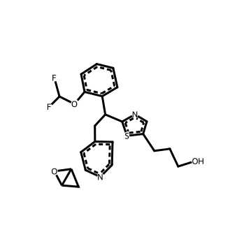 C1C2OC12.OCCCc1cnc(C(Cc2ccncc2)c2ccccc2OC(F)F)s1